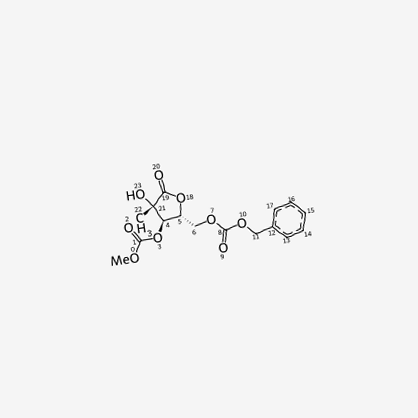 COC(=O)O[C@@H]1[C@@H](COC(=O)OCc2ccccc2)OC(=O)[C@@]1(C)O